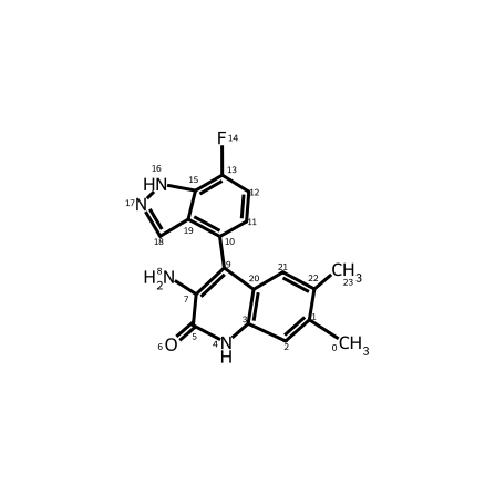 Cc1cc2[nH]c(=O)c(N)c(-c3ccc(F)c4[nH]ncc34)c2cc1C